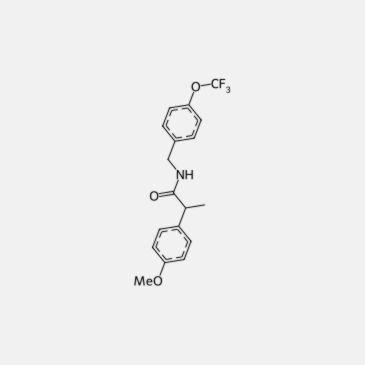 COc1ccc(C(C)C(=O)NCc2ccc(OC(F)(F)F)cc2)cc1